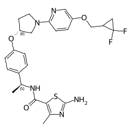 Cc1nc(N)sc1C(=O)N[C@@H](C)c1ccc(O[C@@H]2CCN(c3ccc(OCC4CC4(F)F)cn3)C2)cc1